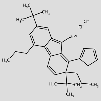 CCCc1cc(C(C)(C)C)cc2c1=C1C=CC(CCC)(C(C)(C)C)C(C3=CC=CC3)=C1[C]=2[Zr+2].[Cl-].[Cl-]